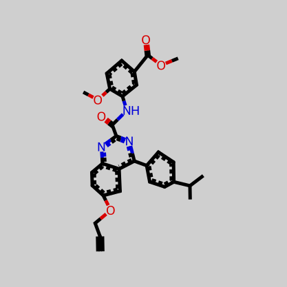 C#CCOc1ccc2nc(C(=O)Nc3cc(C(=O)OC)ccc3OC)nc(-c3ccc(C(C)C)cc3)c2c1